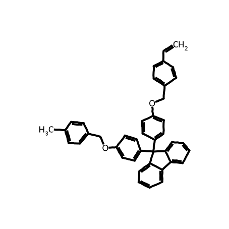 C=Cc1ccc(COc2ccc(C3(c4ccc(OCc5ccc(C)cc5)cc4)c4ccccc4-c4ccccc43)cc2)cc1